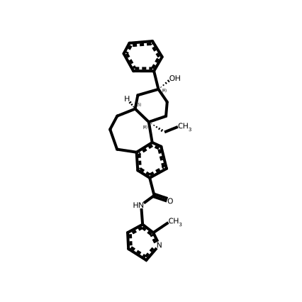 CC[C@@]12CC[C@](O)(c3ccccc3)C[C@@H]1CCCc1cc(C(=O)Nc3cccnc3C)ccc12